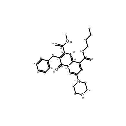 C=C(OCCCC)c1cc(N2CCOCC2)cn2c(=O)c(Cc3ccccc3)c(C(=O)OC)nc12